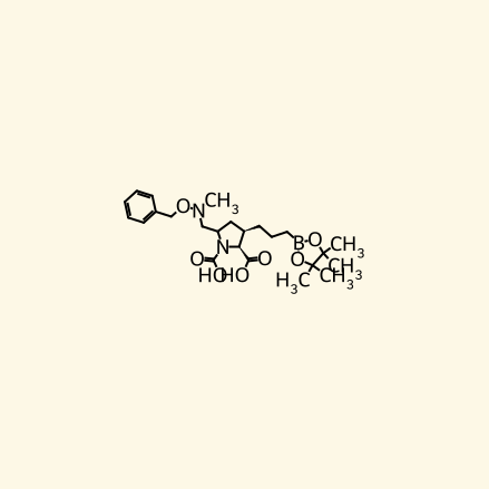 CN(CC1C[C@@H](CCCB2OC(C)(C)C(C)(C)O2)[C@@H](C(=O)O)N1C(=O)O)OCc1ccccc1